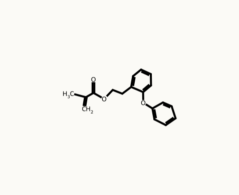 C=C(C)C(=O)OCCc1ccccc1Oc1ccccc1